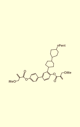 C=C(COC)C(=O)Oc1ccc(-c2ccc(OC(=O)C(=C)COC)c(C3CCC(C4CCC(CCCCC)CC4)CC3)c2)cc1